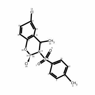 Cc1ccc(S(=O)(=O)N2C(C)c3cc(Cl)ccc3O[P@]2Cl)cc1